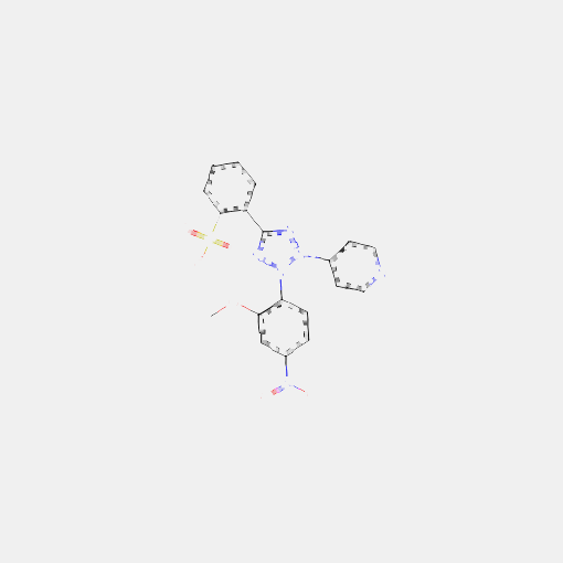 COc1cc([N+](=O)[O-])ccc1-[n+]1nc(-c2ccccc2S(=O)(=O)O)nn1-c1ccncc1